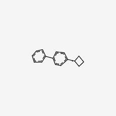 c1ccc(-c2ccc([C]3CCC3)cc2)cc1